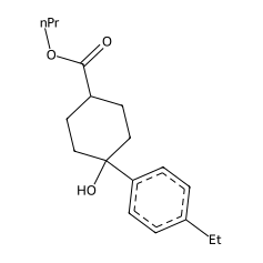 CCCOC(=O)C1CCC(O)(c2ccc(CC)cc2)CC1